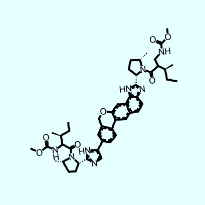 CC[C@H](C)C(CNC(=O)OC)C(=O)N1[C@@H](C)CC[C@H]1c1nc2ccc3cc4c(cc3c2[nH]1)OCc1cc(-c2cnc([C@@H]3CC[C@H](C)N3C(=O)C(NC(=O)OC)[C@@H](C)CC)[nH]2)ccc1-4